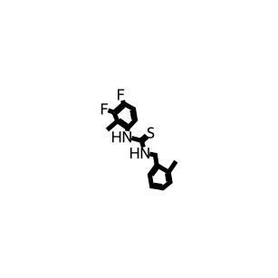 Cc1ccccc1CNC(=S)Nc1ccc(F)c(F)c1C